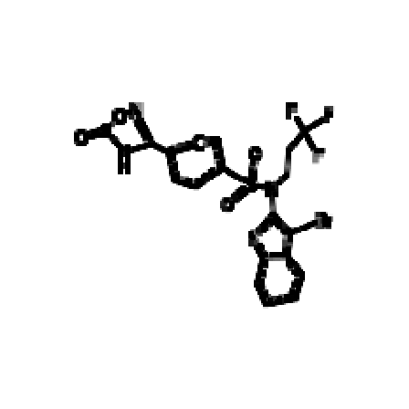 O=S1NC(c2ccc(S(=O)(=O)N(CCC(F)(F)F)c3sc4ccccc4c3Br)cc2)=NO1